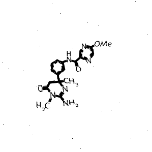 COc1cnc(C(=O)Nc2cccc(C3(C)CC(=O)N(C)C(N)=N3)c2)cn1